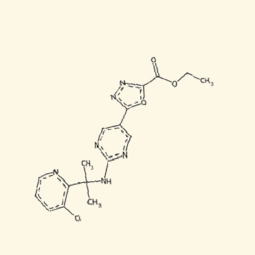 CCOC(=O)c1nnc(-c2cnc(NC(C)(C)c3ncccc3Cl)nc2)o1